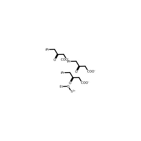 CC(C)CC(=O)CC(=O)[O-].CC(C)CC(=O)CC(=O)[O-].CC(C)CC(=O)CC(=O)[O-].CC[O][Ti+3]